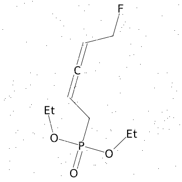 CCOP(=O)(CC=C=CCF)OCC